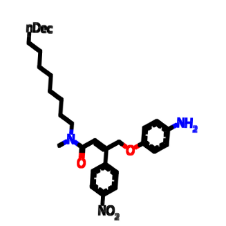 CCCCCCCCCCCCCCCCCCN(C)C(=O)C=C(COc1ccc(N)cc1)c1ccc([N+](=O)[O-])cc1